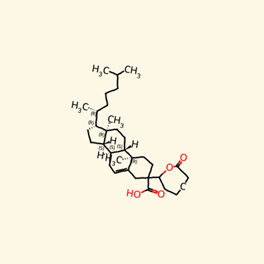 CC(C)CCC[C@@H](C)[C@H]1CC[C@H]2[C@@H]3CC=C4CC(C(=O)O)(C5CCCCC(=O)O5)CC[C@]4(C)[C@H]3CC[C@]12C